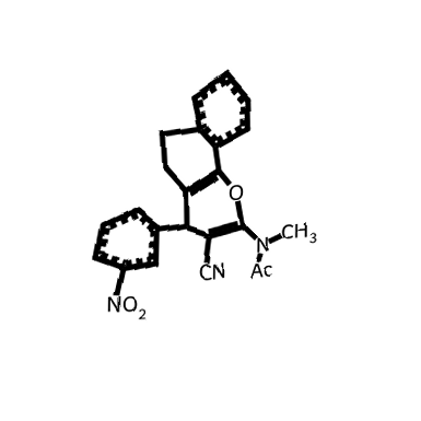 CC(=O)N(C)C1=C(C#N)C(c2cccc([N+](=O)[O-])c2)C2=C(O1)c1ccccc1CC2